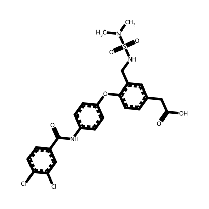 CN(C)S(=O)(=O)NCc1cc(CC(=O)O)ccc1Oc1ccc(NC(=O)c2ccc(Cl)c(Cl)c2)cc1